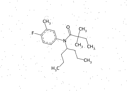 CCCC(CCC)N(C(=O)C(C)(C)CC)c1ccc(F)c(C)c1